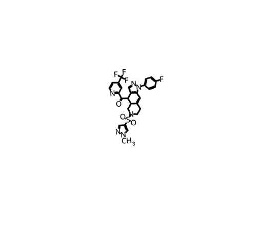 Cn1cc(S(=O)(=O)N2CCC3=Cc4c(cnn4-c4ccc(F)cc4)C(C(=O)c4cc(C(F)(F)F)ccn4)C3C2)cn1